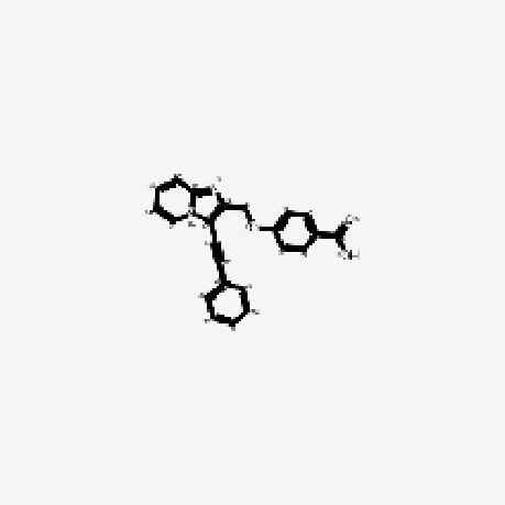 O=C(O)c1ccc(OCc2nc3ccccn3c2C#Cc2ccccc2)cc1